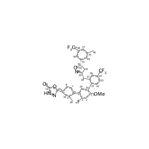 COc1cc(F)c(-c2ccc(-c3n[nH]c(=O)o3)cc2C)cc1-c1ccc(C(F)(F)F)cc1CC1=NO[C@H](c2cc(C)cc(C(F)(F)F)c2)C1